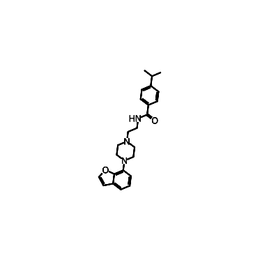 CC(C)c1ccc(C(=O)NCCN2CCN(c3cccc4ccoc34)CC2)cc1